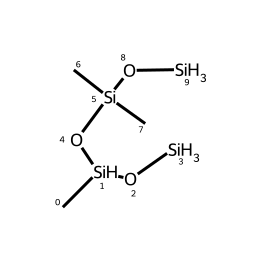 C[SiH](O[SiH3])O[Si](C)(C)O[SiH3]